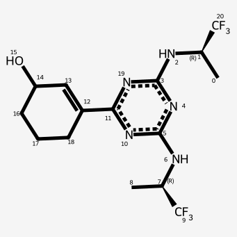 C[C@@H](Nc1nc(N[C@H](C)C(F)(F)F)nc(C2=CC(O)CCC2)n1)C(F)(F)F